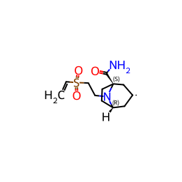 C=CS(=O)(=O)CCN1[C@@H]2C[CH]C[C@@]1(C(N)=O)CC2